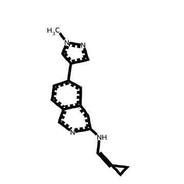 Cn1cc(-c2ccc3cnc(NC=C4CC4)cc3c2)cn1